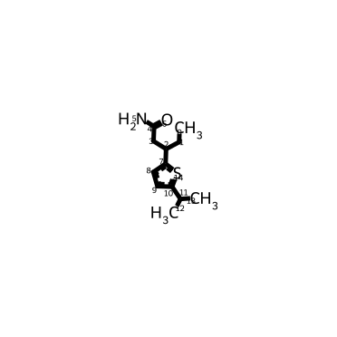 CCC(CC(N)=O)c1ccc(C(C)C)s1